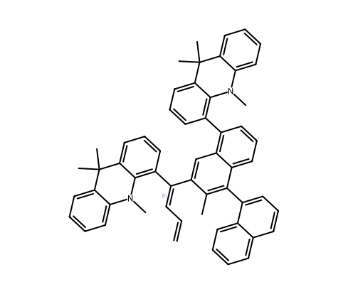 C=C/C=C(\c1cc2c(-c3cccc4c3N(C)c3ccccc3C4(C)C)cccc2c(-c2cccc3ccccc23)c1C)c1cccc2c1N(C)c1ccccc1C2(C)C